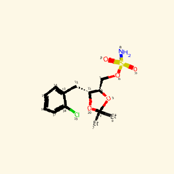 CCC1(CC)O[C@H](COS(N)(=O)=O)[C@@H](Cc2ccccc2Cl)O1